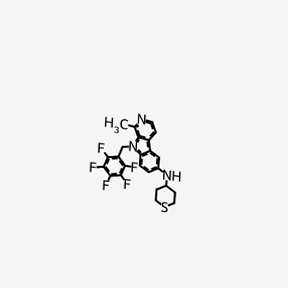 Cc1nccc2c3cc(NC4CCSCC4)ccc3n(Cc3c(F)c(F)c(F)c(F)c3F)c12